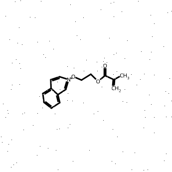 C=C(C)C(=O)OCCO[n+]1ccc2ccccc2c1